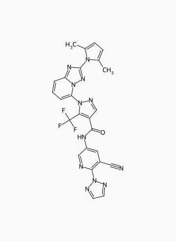 Cc1ccc(C)n1-c1nc2cccc(-n3ncc(C(=O)Nc4cnc(-n5nccn5)c(C#N)c4)c3C(F)(F)F)n2n1